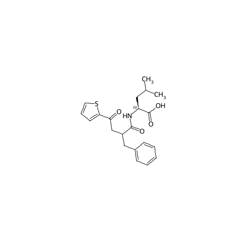 CC(C)C[C@H](NC(=O)C(CC(=O)c1cccs1)Cc1ccccc1)C(=O)O